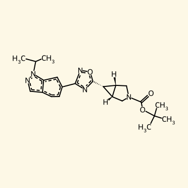 CC(C)n1ncc2ccc(-c3noc([C@@H]4[C@@H]5CN(C(=O)OC(C)(C)C)C[C@@H]54)n3)cc21